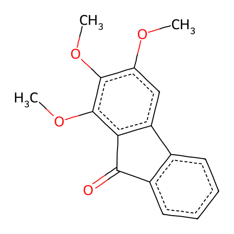 COc1cc2c(c(OC)c1OC)C(=O)c1ccccc1-2